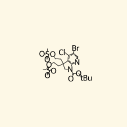 CC(C)(C)OC(=O)N1CC(CCOS(C)(=O)=O)(CCOS(C)(=O)=O)c2c1ncc(Br)c2Cl